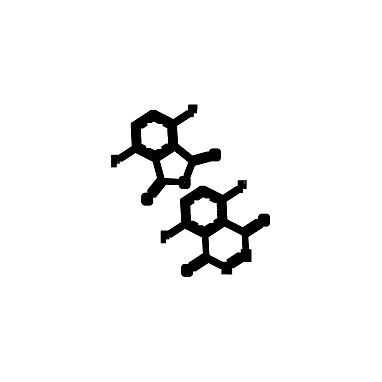 O=C1N=NC(=O)c2c(F)ccc(F)c21.O=C1OC(=O)c2c(F)ccc(F)c21